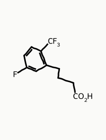 O=C(O)CCCc1cc(F)ccc1C(F)(F)F